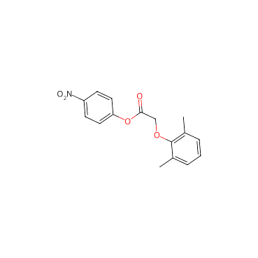 Cc1cccc(C)c1OCC(=O)Oc1ccc([N+](=O)[O-])cc1